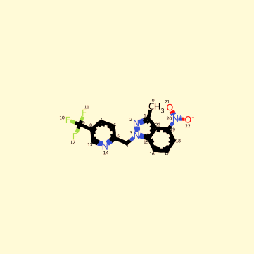 Cc1nn(Cc2ccc(C(F)(F)F)cn2)c2cccc([N+](=O)[O-])c12